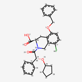 O=C(O)[C@H]1Cc2c(OCc3ccccc3)ccc(F)c2CN1C(=O)[C@H](OC1CCCC1)c1ccccc1